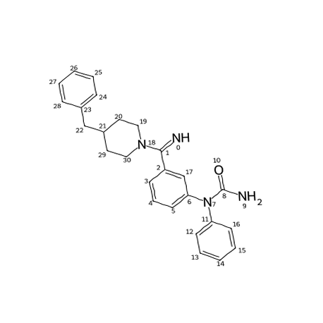 N=C(c1cccc(N(C(N)=O)c2ccccc2)c1)N1CCC(Cc2ccccc2)CC1